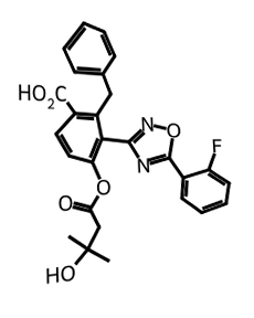 CC(C)(O)CC(=O)Oc1ccc(C(=O)O)c(Cc2ccccc2)c1-c1noc(-c2ccccc2F)n1